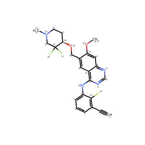 C#Cc1cccc(Nc2ncnc3cc(OC)c(CO[C@@H]4CCN(C)CC4(F)F)cc23)c1F